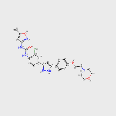 CC(C)(C)c1cc(NC(=O)Nc2ccc(-c3cc(-c4ccc(OCCN5CCOCC5)cc4)[nH]n3)cc2F)no1